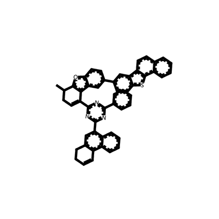 CC1CC=C(c2nc(-c3ccccc3)nc(-c3cc4c(c5ccccc35)C=CCC4)n2)c2c1oc1ccc(-c3ccc4sc5c6ccccc6ccc5c4c3)cc21